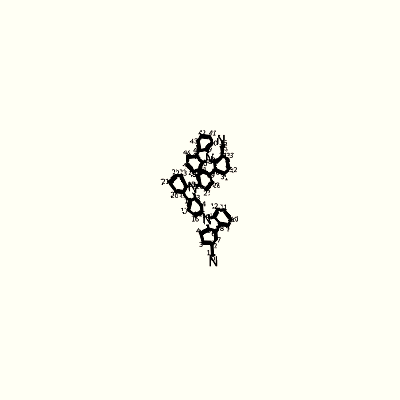 N#Cc1ccc2c(c1)c1ccccc1n2-c1ccc2c3ccccc3n(-c3ccc(-c4cccc(C#N)c4-n4c5ccccc5c5ccccc54)cc3)c2c1